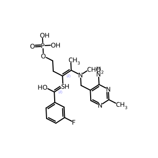 C/C(=C(CCOP(=O)(O)O)/[SH]=C(\O)c1cccc(F)c1)N(C=O)Cc1cnc(C)nc1N